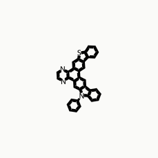 c1ccc(-n2c3ccccc3c3cc4c5cc6c(cc5c5nccnc5c4cc32)sc2ccccc26)cc1